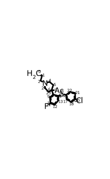 C=CCN1CCC(C(C)=O)(c2cc(F)ccc2Sc2ccc(Cl)cc2)CC1